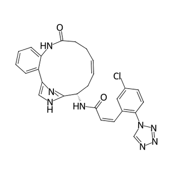 O=C(/C=C\c1cc(Cl)ccc1-n1cnnn1)N[C@H]1C/C=C\CCC(=O)Nc2ccccc2-c2c[nH]c1n2